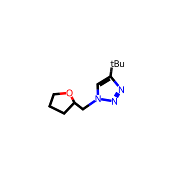 CC(C)(C)c1cn(CC2CCCO2)nn1